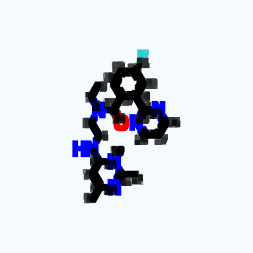 CCN(CCNC1C=C(C)N=C(C)N1C)C(=O)c1ccc(F)cc1-c1ncccn1